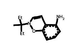 CCC(C)(CC)N1C=Cc2c(N)cccc2O1